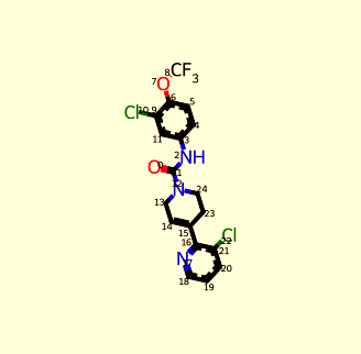 O=C(Nc1ccc(OC(F)(F)F)c(Cl)c1)N1CC=C(c2ncccc2Cl)CC1